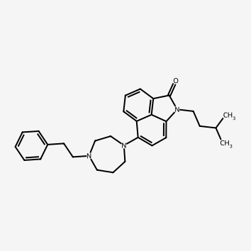 CC(C)CCN1C(=O)c2cccc3c(N4CCCN(CCc5ccccc5)CC4)ccc1c23